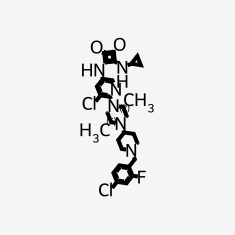 C[C@@H]1CN(C2CCN(Cc3ccc(Cl)cc3F)CC2)[C@@H](C)CN1c1ncc(Nc2c(NC3CC3)c(=O)c2=O)cc1Cl